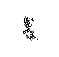 CC[C@@H](NS(=O)(=O)c1ccc(-c2sc(-c3nnc(CC(C)(C)C(=O)O)o3)nc2CC2CCC2)c(C(F)F)c1F)C(F)(F)F